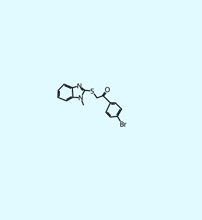 Cn1c(SCC(=O)c2ccc(Br)cc2)nc2ccccc21